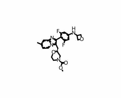 COC(=O)N1CCO[C@@H](Cc2c(-c3c(F)cc(NC4COC4)cc3F)nc3cc(C)ccn23)C1